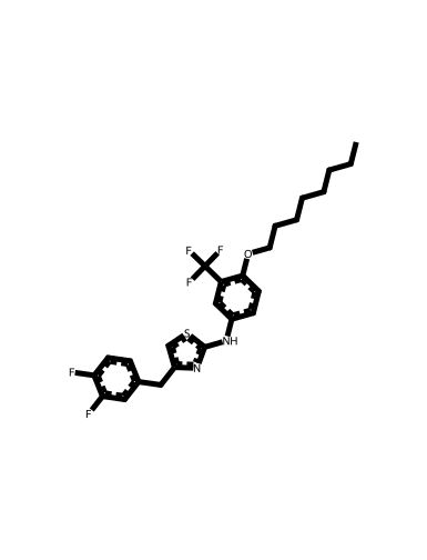 CCCCCCCCOc1ccc(Nc2nc(Cc3ccc(F)c(F)c3)cs2)cc1C(F)(F)F